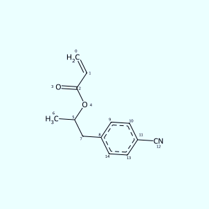 C=CC(=O)OC(C)Cc1ccc(C#N)cc1